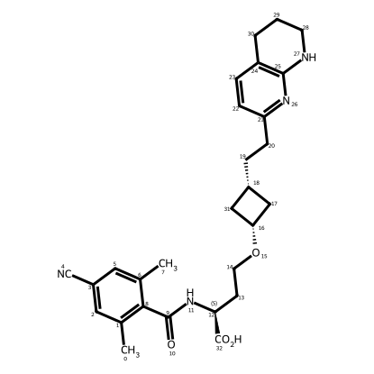 Cc1cc(C#N)cc(C)c1C(=O)N[C@@H](CCO[C@H]1C[C@@H](CCc2ccc3c(n2)NCCC3)C1)C(=O)O